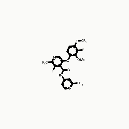 COc1c(Oc2cnc(C(F)(F)F)c(F)c2C(=O)Nc2ccnc(C)c2)ccc(OC(F)(F)F)c1F